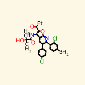 Bc1ccc(-c2nc3oc(C(=O)CC)c(NC(=O)C(C)(C)O)c3cc2-c2ccc(Cl)cc2)c(Cl)c1